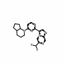 FC(F)c1cn2c(-c3nccc(N4CCCC5CCCC54)n3)cnc2cn1